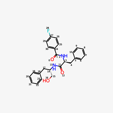 O=C(N[C@@H](Cc1ccccc1)C(=O)N[C@H](CO)Cc1ccccc1)c1ccc(F)cc1